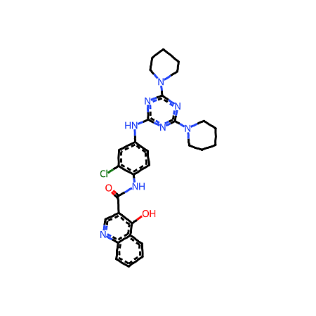 O=C(Nc1ccc(Nc2nc(N3CCCCC3)nc(N3CCCCC3)n2)cc1Cl)c1cnc2ccccc2c1O